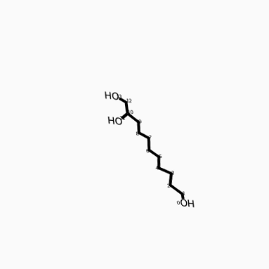 OCCCCCCCCCC(O)CO